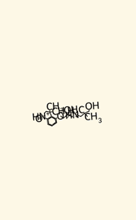 CC(C)(CO)CNCC(O)COc1cccc2c1C(C)(C)C[NH+]2[O-]